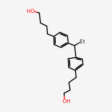 CCC(c1ccc(CCCCO)cc1)c1ccc(CCCCO)cc1